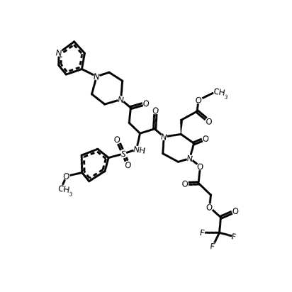 COC(=O)C[C@H]1C(=O)N(OC(=O)COC(=O)C(F)(F)F)CCN1C(=O)C(CC(=O)N1CCN(c2ccncc2)CC1)NS(=O)(=O)c1ccc(OC)cc1